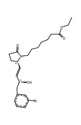 CCOC(=O)CCCCCCN1C(=O)CC[C@@H]1C=C[C@@H](O)Cc1cccc(Br)c1